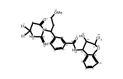 CCC1(CC)CC(=O)N(C(CCOC)c2cccc(C(=O)NC3c4ccccc4OC(C(F)(F)F)C3O)c2)C(=N)N1